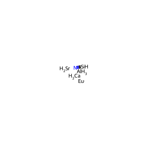 N#[SiH].[AlH3].[CaH2].[Eu].[SrH2]